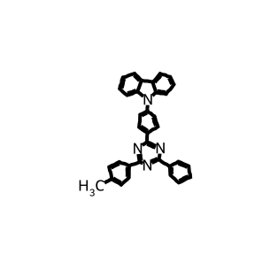 Cc1ccc(-c2nc(-c3ccccc3)nc(-c3ccc(-n4c5ccccc5c5ccccc54)cc3)n2)cc1